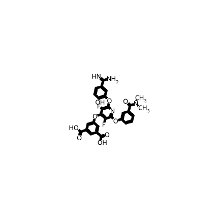 CN(C)C(=O)c1cccc(Oc2nc(Oc3cc(C(=N)N)ccc3O)c(F)c(Oc3cc(C(=O)O)cc(C(=O)O)c3)c2F)c1